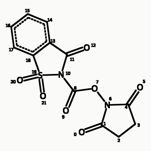 O=C1CCC(=O)N1OC(=O)N1C(=O)c2ccccc2S1(=O)=O